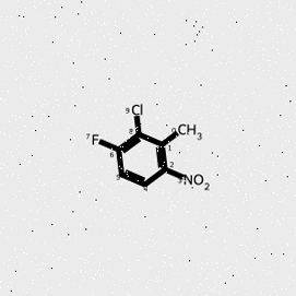 Cc1c([N+](=O)[O-])ccc(F)c1Cl